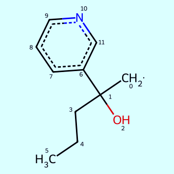 [CH2]C(O)(CCC)c1cccnc1